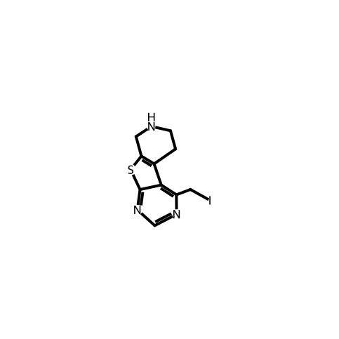 ICc1ncnc2sc3c(c12)CCNC3